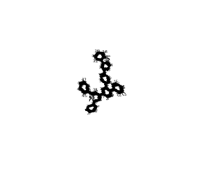 c1ccc(-c2cc(-c3ccc(-c4ccccc4)c(-c4ccc(-c5ccc6sc7ccccc7c6c5)cc4)c3)cc(-c3ccccc3)n2)cc1